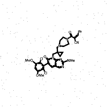 CNc1ncc2cc(-c3c(Cl)c(OC)cc(OC)c3Cl)c(=O)n(CC3(CN4CCN(C(=O)/C(C#N)=C\C(C)C)CC4)CC3)c2n1